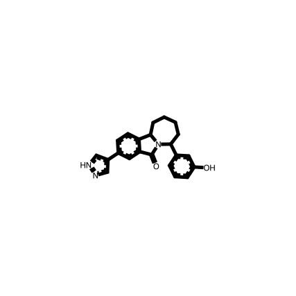 O=C1c2cc(-c3cn[nH]c3)ccc2C2CCCCC(c3cccc(O)c3)N12